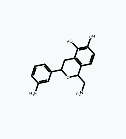 NCC1OC(c2cccc(N)c2)Cc2c1ccc(O)c2O